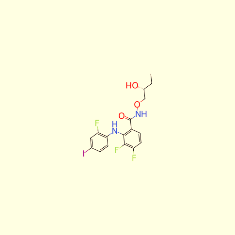 CC[C@@H](O)CONC(=O)c1ccc(F)c(F)c1Nc1ccc(I)cc1F